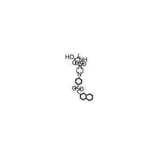 C[C@@H](NS(=O)(=O)N1CCN(c2ccc(S(=O)(=O)Cc3ccc4ccccc4c3)cc2)CC1)C(=O)O